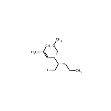 CCC[C@H](CF)[C@H](C=C(C)C)COC